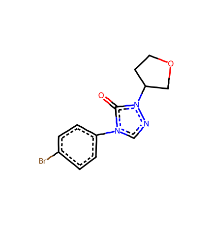 O=c1n(-c2ccc(Br)cc2)cnn1C1CCOC1